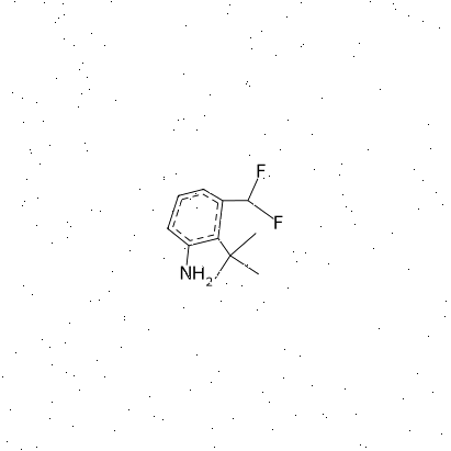 CC(C)(C)c1c(N)cccc1C(F)F